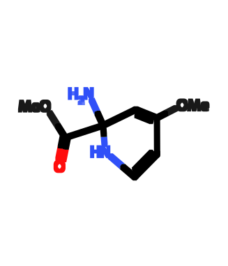 COC(=O)C1(N)C=C(OC)C=CN1